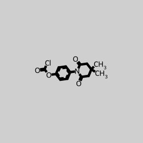 CC1(C)CC(=O)N(c2ccc(OC(=O)Cl)cc2)C(=O)C1